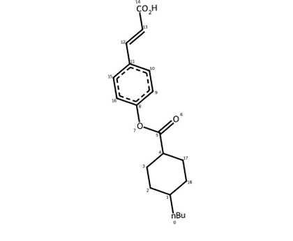 CCCCC1CCC(C(=O)Oc2ccc(C=CC(=O)O)cc2)CC1